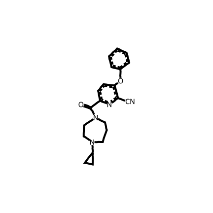 N#Cc1nc(C(=O)N2CCCN(C3CC3)CC2)ccc1Oc1ccccc1